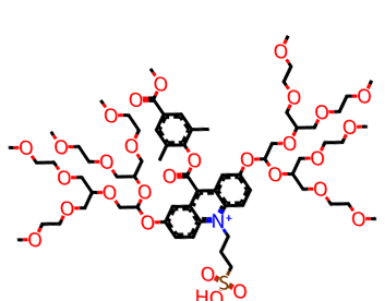 COCCOCC(COCCOC)OCC(Oc1ccc2c(c1)c(C(=O)Oc1c(C)cc(C(=O)OC)cc1C)c1cc(OC(COC(COCCOC)COCCOC)OC(COCCOC)COCCOC)ccc1[n+]2CCCS(=O)(=O)O)OC(COCCOC)COCCOC